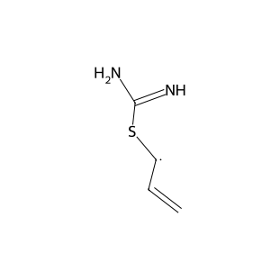 C=C[CH]SC(=N)N